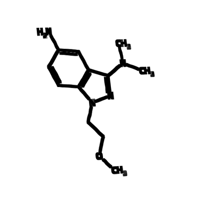 COCCn1nc(N(C)C)c2cc(N)ccc21